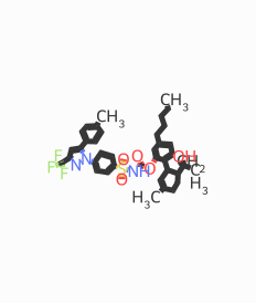 C=C(C)C1CCC(C)=CC1c1c(O)cc(CCCCC)cc1OC(=O)NS(=O)(=O)c1ccc(-n2nc(C(F)(F)F)cc2-c2ccc(C)cc2)cc1